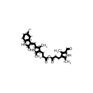 Cc1[nH]c(C=O)c(C)c1CCC(=O)OC(=O)CCc1c(C)[nH]c(C=C2C(=O)Nc3ccc(I)cc32)c1C